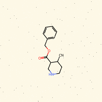 N#CC1CCNCC1C(=O)OCc1ccccc1